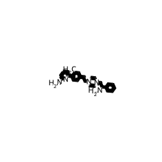 Cc1cc(CCN2CCN(CC(N)c3ccccc3)CC2)ccc1-c1cccc(N)n1